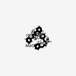 CCN(C(C)Cc1ccc(OC)cc1)C(C1CCNCC1)S(C)(=O)=O.O=C(O)C(O)(C(=O)c1ccccc1)C(O)(C(=O)O)C(=O)c1ccccc1